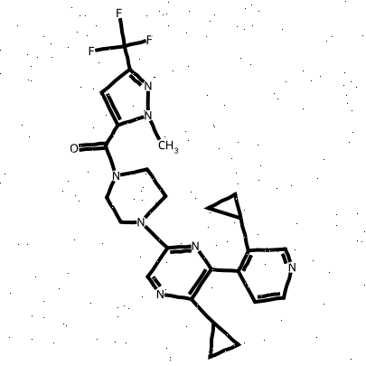 Cn1nc(C(F)(F)F)cc1C(=O)N1CCN(c2cnc(C3CC3)c(-c3ccncc3C3CC3)n2)CC1